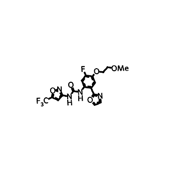 COCCOc1cc(-c2ncco2)c(NC(=O)Nc2cc(C(F)(F)F)on2)cc1F